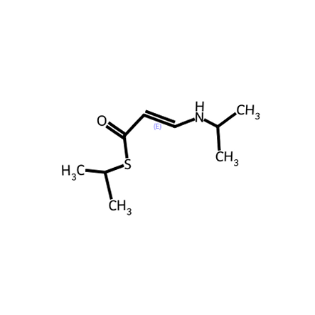 CC(C)N/C=C/C(=O)SC(C)C